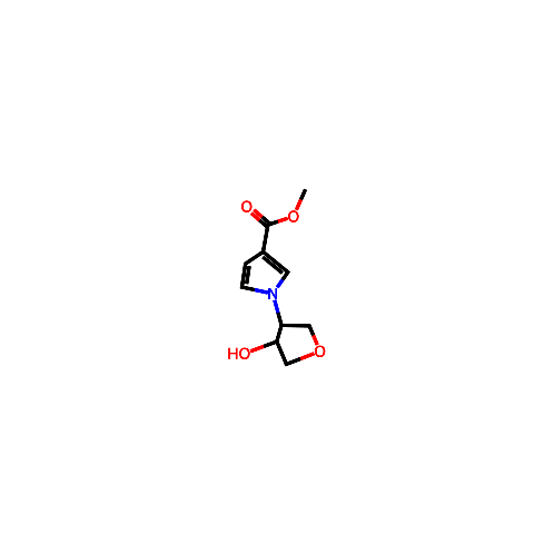 COC(=O)c1ccn(C2COCC2O)c1